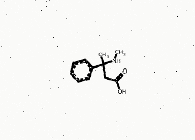 CNC(C)(CC(=O)O)c1ccccc1